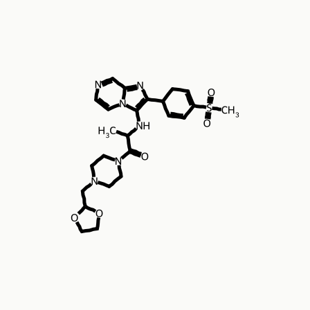 CC(Nc1c(C2C=CC(S(C)(=O)=O)=CC2)nc2cnccn12)C(=O)N1CCN(CC2OCCO2)CC1